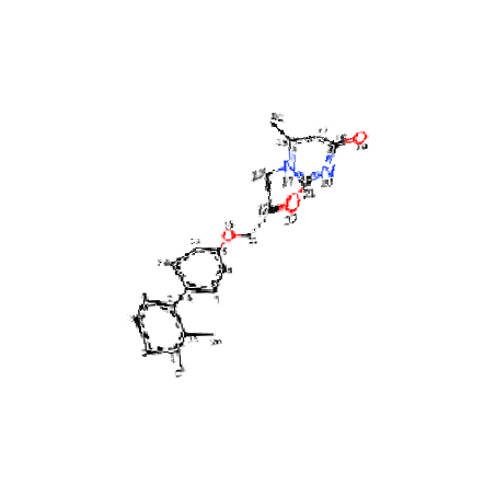 Cc1cccc(-c2ccc(OC[C@@H]3Cn4c(C)cc(=O)nc4O3)cc2)c1C